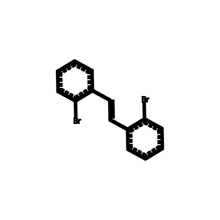 Brc1ccccc1C=Cc1ccccc1Br